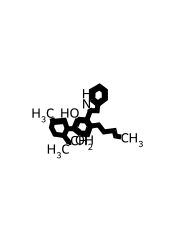 C=C(C)C1CCC(C)=CC1c1c(O)cc(CCCCC)c(C2Cc3ccccc3N2)c1O